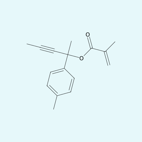 C=C(C)C(=O)OC(C)(C#CC)c1ccc(C)cc1